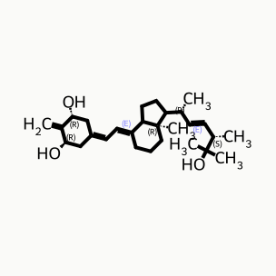 C=C1[C@H](O)CC(=C/C=C2\CCC[C@@]3(C)C2CCC3[C@H](C)/C=C/[C@H](C)C(C)(C)O)C[C@H]1O